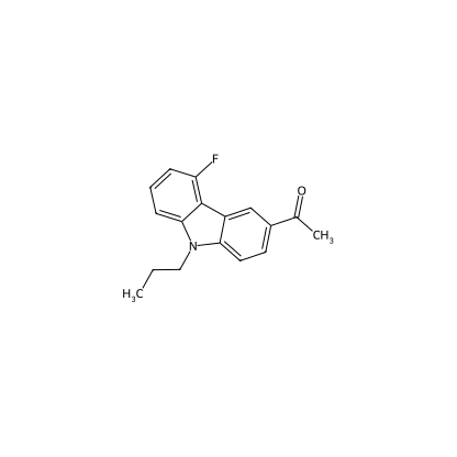 CCCn1c2ccc(C(C)=O)cc2c2c(F)cccc21